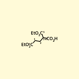 CCOC(=O)CCC(C(=O)O)C(=O)OCC